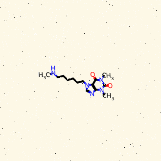 CNCCCCCCn1cnc2c1c(=O)n(C)c(=O)n2C